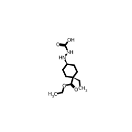 CCOC(=O)[C@]1(CC)CC[C@@H](NNC(=O)O)CC1